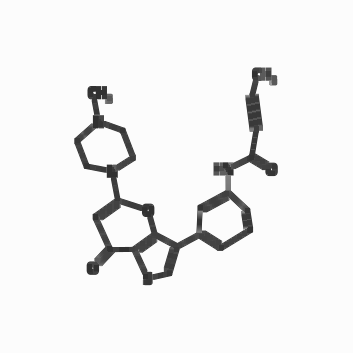 CC#CC(=O)Nc1cccc(-c2csc3c(=O)cc(N4CCN(C)CC4)oc23)c1